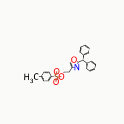 Cc1ccc(S(=O)(=O)OCCc2coc(C(c3ccccc3)c3ccccc3)n2)cc1